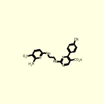 N#Cc1ccc(-c2nc(NCCNc3ccc([N+](=O)[O-])c(N)n3)ncc2C(=O)O)cc1